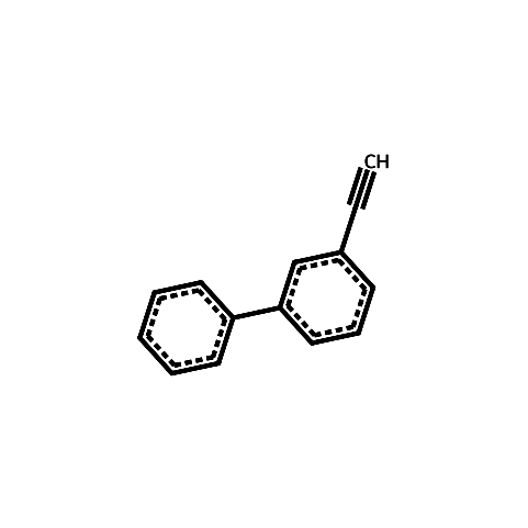 C#Cc1cccc(-c2ccccc2)c1